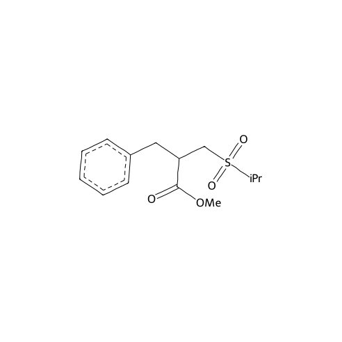 COC(=O)C(Cc1ccccc1)CS(=O)(=O)C(C)C